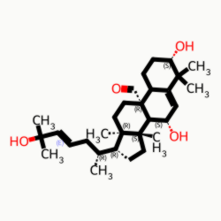 C[C@H](C/C=C/C(C)(C)O)[C@H]1CC[C@@]2(C)C3[C@@H](O)C=C4C(CC[C@H](O)C4(C)C)[C@]3(C=O)CC[C@]12C